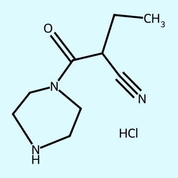 CCC(C#N)C(=O)N1CCNCC1.Cl